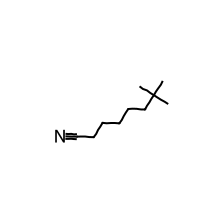 CC(C)(C)CCCCCC#N